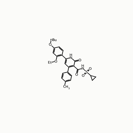 CCCCOc1ccc(-c2cc(-c3ccc(C)cc3)c(C(=O)NS(=O)(=O)C3CC3)c(=O)[nH]2)c(OCC)c1